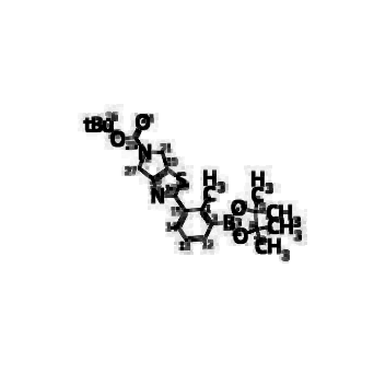 Cc1c(B2OC(C)(C)C(C)(C)O2)cccc1-c1nc2c(s1)CN(C(=O)OC(C)(C)C)C2